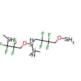 C[SiH2]C(F)(F)C(F)(F)CO[SiH](CC(F)(F)C(F)(F)CO[SiH3])[SiH](C)C